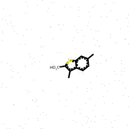 Cc1ccc2c(C)c(C(=O)O)sc2c1